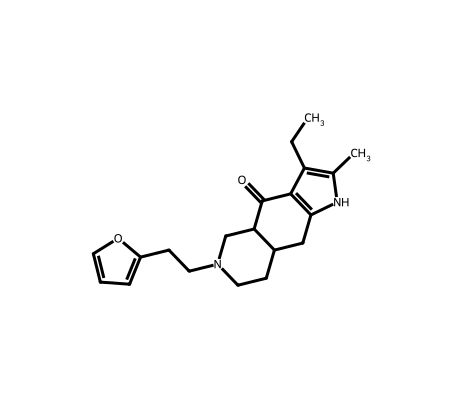 CCc1c(C)[nH]c2c1C(=O)C1CN(CCc3ccco3)CCC1C2